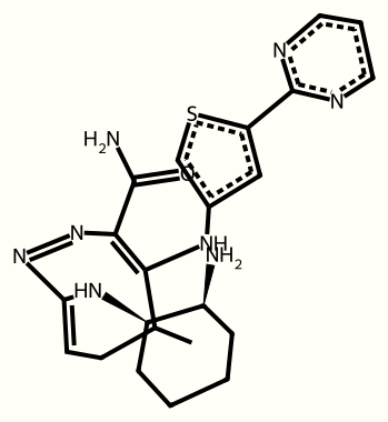 CC1C/C=C(N[C@@H]2CCCC[C@@H]2N)/N=N\C(C(N)=O)=C/1Nc1csc(-c2ncccn2)c1